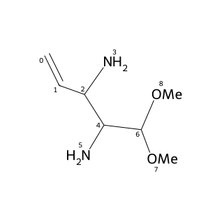 C=CC(N)C(N)C(OC)OC